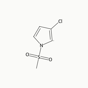 CS(=O)(=O)n1[c]c(Cl)cc1